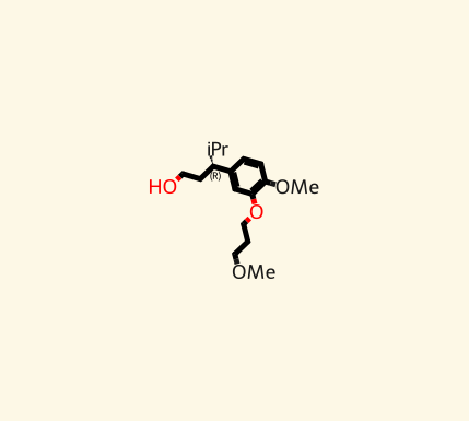 COCCCOc1cc([C@H](CCO)C(C)C)ccc1OC